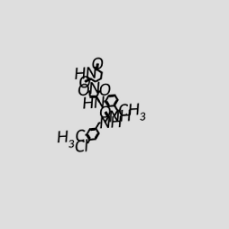 Cc1cc(CNC(=O)NC(C)c2cccc(NC3=CC(=O)N(C4CCC(=O)NC4=O)C3=O)c2)ccc1Cl